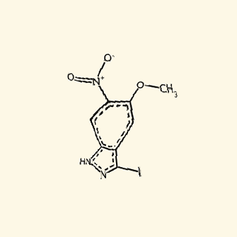 COc1cc2c(I)n[nH]c2cc1[N+](=O)[O-]